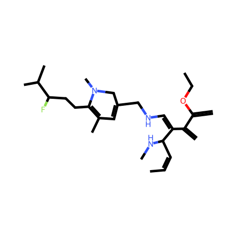 C=C(OCC)C(=C)/C(=C/NCC1=CC(C)=C(CCC(F)C(C)C)N(C)C1)C(/C=C\C)NC